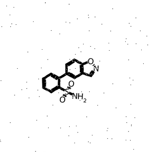 NS(=O)(=O)c1ccccc1-c1ccc2oncc2c1